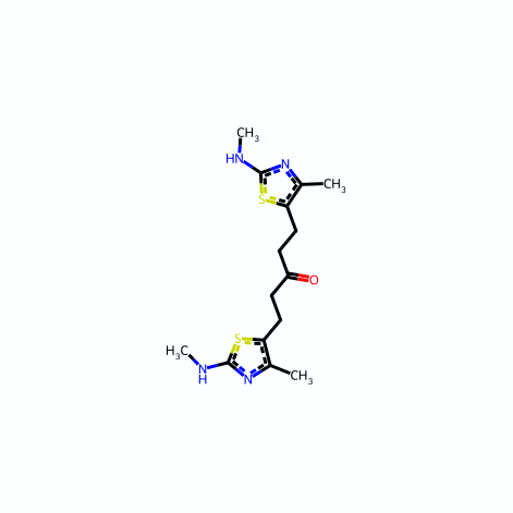 CNc1nc(C)c(CCC(=O)CCc2sc(NC)nc2C)s1